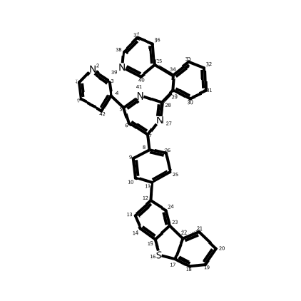 c1cncc(-c2cc(-c3ccc(-c4ccc5sc6ccccc6c5c4)cc3)nc(-c3ccccc3-c3cccnc3)n2)c1